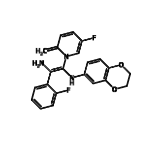 C=C1C=CC(F)=CN1/C(Nc1ccc2c(c1)OCCO2)=C(\N)c1ccccc1F